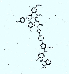 COc1ccc(C2=N[C@@H](c3ccc(Cl)cc3)[C@@H](c3ccc(Cl)cc3)N2C(=O)N2CCN(C3CC(N4CCN(c5ccc(Nc6ncc(Cl)c(Nc7ccccc7P(C)(C)=O)n6)c(OC)c5)CC4)C3)C(=O)C2)c(OC(C)C)c1